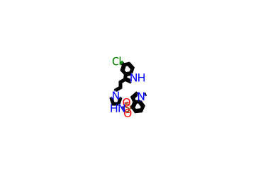 Cn1ccc2c(S(=O)(=O)NC3CCN(CCCc4c[nH]c5ccc(Cl)cc45)C3)cccc21